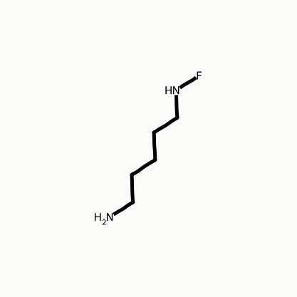 NCCCCCNF